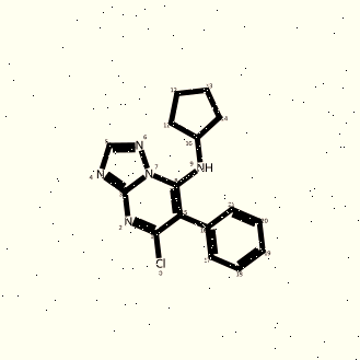 Clc1nc2ncnn2c(NC2CCCC2)c1-c1ccccc1